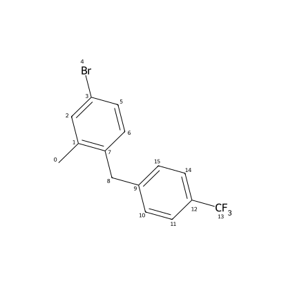 Cc1cc(Br)ccc1Cc1ccc(C(F)(F)F)cc1